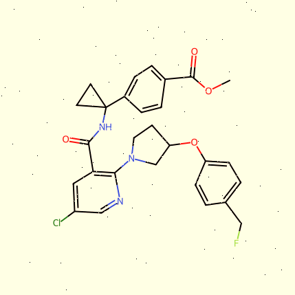 COC(=O)c1ccc(C2(NC(=O)c3cc(Cl)cnc3N3CCC(Oc4ccc(CF)cc4)C3)CC2)cc1